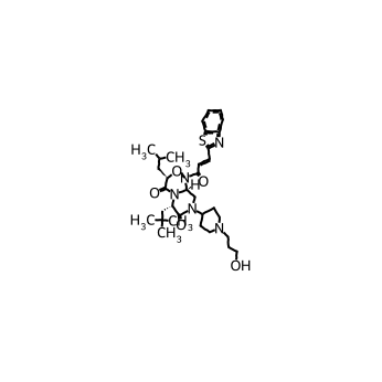 CC(C)C[C@H]1ON(C(=O)/C=C/c2nc3ccccc3s2)[C@H]2CN(C3CCN(CCCO)CC3)C(=O)[C@H](CC(C)(C)C)N2C1=O